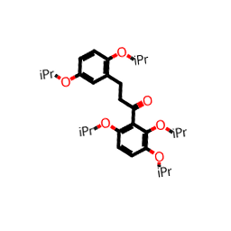 CC(C)Oc1ccc(OC(C)C)c(CCC(=O)c2c(OC(C)C)ccc(OC(C)C)c2OC(C)C)c1